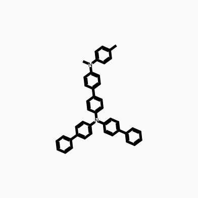 Cc1ccc(N(C)c2ccc(-c3ccc(N(c4ccc(-c5ccccc5)cc4)c4ccc(-c5ccccc5)cc4)cc3)cc2)cc1